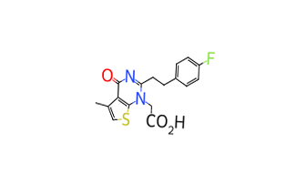 Cc1csc2c1c(=O)nc(CCc1ccc(F)cc1)n2CC(=O)O